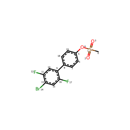 CS(=O)(=O)Oc1ccc(-c2cc(F)c(Br)cc2F)cc1